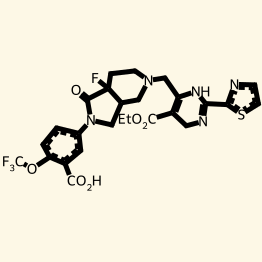 CCOC(=O)C1=C(CN2CCC3(F)C(=O)N(c4ccc(OC(F)(F)F)c(C(=O)O)c4)CC3C2)NC(c2nccs2)=NC1